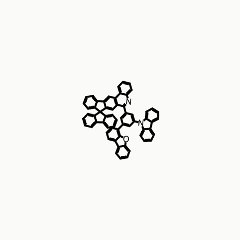 c1ccc2c(c1)-c1ccccc1C21c2ccccc2-c2cc3c(cc21)c(-c1cc(-c2cccc4c2oc2ccccc24)cc(-n2c4ccccc4c4ccccc42)c1)nc1ccccc13